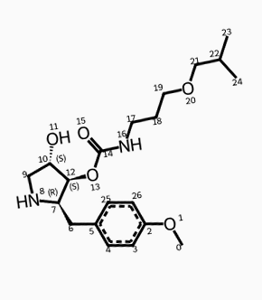 COc1ccc(C[C@H]2NC[C@H](O)[C@H]2OC(=O)NCCCOCC(C)C)cc1